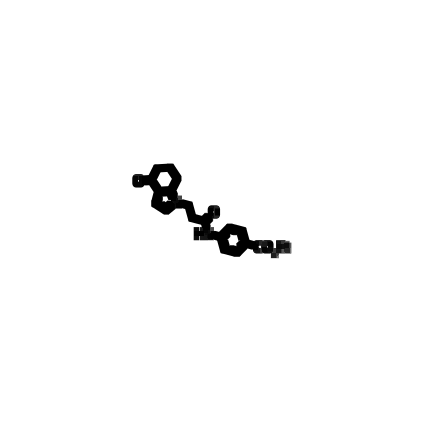 CCOC(=O)c1ccc(NC(=O)CCn2ccc3c2CCCC3=O)cc1